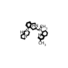 Cc1cnc2c(c1)CCC[C@@H]2N(C)C[C@H]1Cc2c(cccc2N2CCN3CCC[C@@H]3C2)CN1